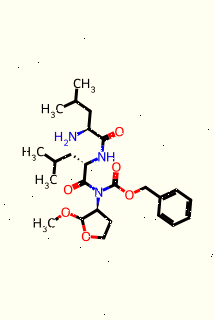 COC1OCC[C@@H]1N(C(=O)OCc1ccccc1)C(=O)[C@H](CC(C)C)NC(=O)[C@@H](N)CC(C)C